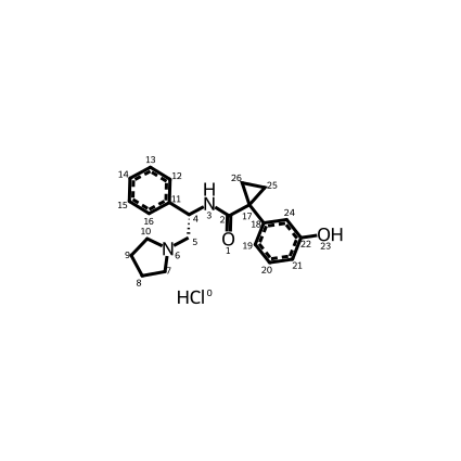 Cl.O=C(N[C@H](CN1CCCC1)c1ccccc1)C1(c2cccc(O)c2)CC1